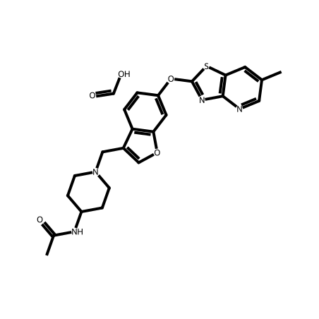 CC(=O)NC1CCN(Cc2coc3cc(Oc4nc5ncc(C)cc5s4)ccc23)CC1.O=CO